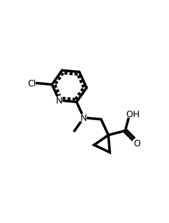 CN(CC1(C(=O)O)CC1)c1cccc(Cl)n1